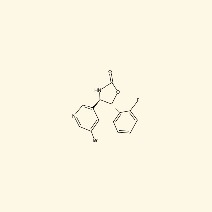 O=C1N[C@H](c2cncc(Br)c2)[C@@H](c2ccccc2F)O1